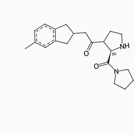 Cc1ccc2c(c1)CC(CC(=O)C1CCN[C@H]1C(=O)N1CCCC1)C2